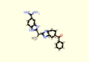 CC(c1nc2cc(C(=N)N)ccc2[nH]1)c1nc2cc(C(=O)c3ccccc3)ccc2[nH]1